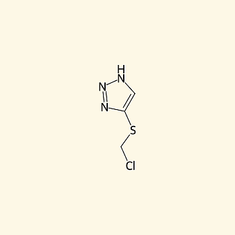 ClCSc1c[nH]nn1